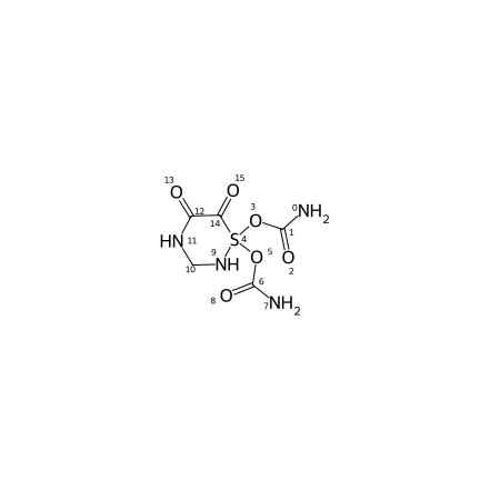 NC(=O)OS1(OC(N)=O)NCNC(=O)C1=O